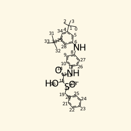 CC(C)(C)c1cc(Nc2ccc(NC(=O)C(O)[S+]([O-])Cc3ccccc3)cc2)cc(C(C)(C)C)c1